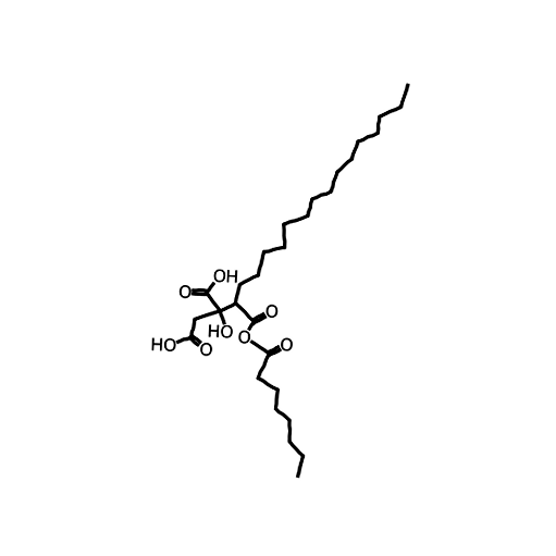 CCCCCCCCCCCCCCCC(C(=O)OC(=O)CCCCCCC)C(O)(CC(=O)O)C(=O)O